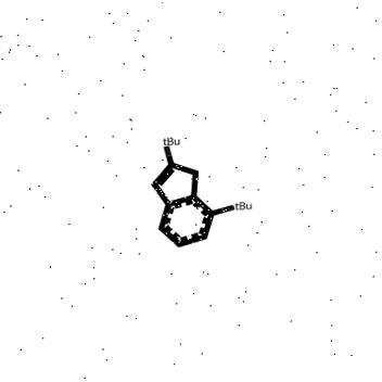 CC(C)(C)C1=Cc2cccc(C(C)(C)C)c2C1